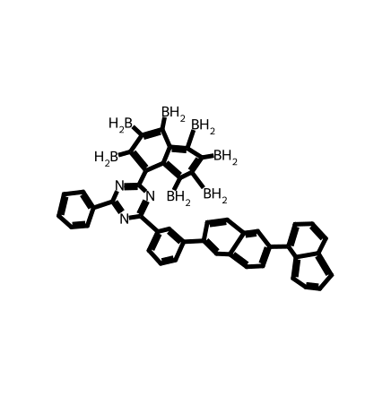 Bc1c(B)c(B)c2c(-c3nc(-c4ccccc4)nc(-c4cccc(-c5ccc6cc(-c7cccc8ccccc78)ccc6c5)c4)n3)c(B)c(B)c(B)c2c1B